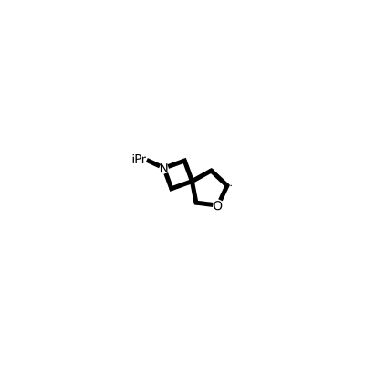 CC(C)N1CC2(C[CH]OC2)C1